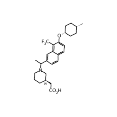 CC(c1ccc2ccc(O[C@H]3CC[C@@H](C)CC3)c(C(F)(F)F)c2c1)N1CCC[C@H](CC(=O)O)C1